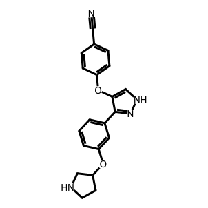 N#Cc1ccc(Oc2c[nH]nc2-c2cccc(OC3CCNC3)c2)cc1